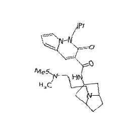 CSN(C)CCCN1C2CCC1CC(NC(=O)c1cc3cccn3n(C(C)C)c1=O)C2